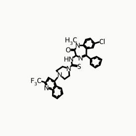 CN1C(=O)C(NC(=S)N2CCN(c3cc(C(F)(F)F)nc4ccccc34)CC2)N=C(c2ccccc2)c2cc(Cl)ccc21